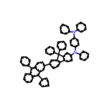 c1ccc(-c2c3ccccc3c(-c3ccccc3)c3cc(-c4ccc5c(c4)C(c4ccccc4)(c4ccccc4)c4cc(N(c6ccccc6)c6ccc(N(c7ccccc7)c7ccccc7)cc6)ccc4-5)ccc23)cc1